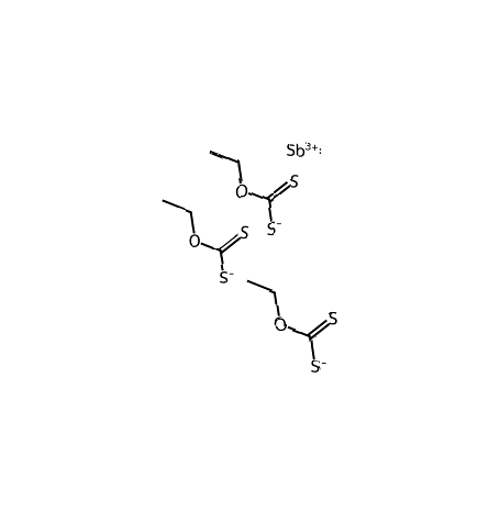 CCOC(=S)[S-].CCOC(=S)[S-].CCOC(=S)[S-].[Sb+3]